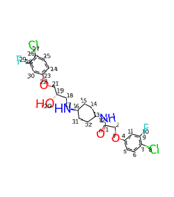 O=C(COc1ccc(Cl)c(F)c1)N[C@H]1CC[C@H](NC[C@H](O)COc2ccc(Cl)c(F)c2)CC1